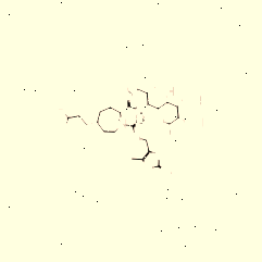 Cc1oc(=O)oc1COC(=O)N1CC[C@@H](CCC(F)F)CC[C@H]1C(=O)N[C@@H]([C@H]1O[C@H](C)[C@H](O)[C@@H](O)[C@H]1O)[C@H](C)Cl